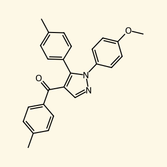 COc1ccc(-n2ncc(C(=O)c3ccc(C)cc3)c2-c2ccc(C)cc2)cc1